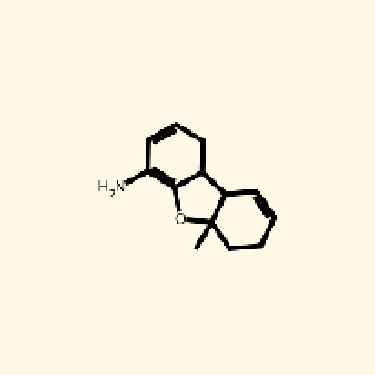 CC12CCC=CC1C1CC=CC(N)=C1O2